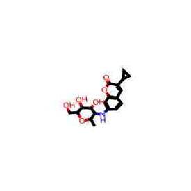 CC1OC(CO)C(O)C(O)C1Nc1ccc2cc(C3CC3)c(=O)oc2c1